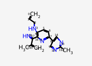 C=CCNc1ccc(-c2cnc(C)nc2)nc1C(=N)C(=C)C